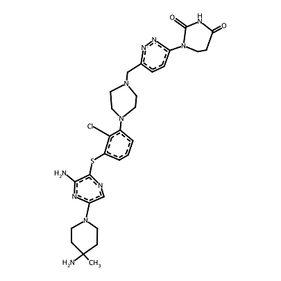 CC1(N)CCN(c2cnc(Sc3cccc(N4CCN(Cc5ccc(N6CCC(=O)NC6=O)nn5)CC4)c3Cl)c(N)n2)CC1